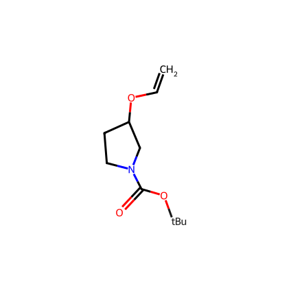 C=COC1CCN(C(=O)OC(C)(C)C)C1